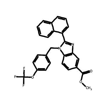 COC(=O)c1ccc2c(c1)nc(-c1cccc3ccccc13)n2Cc1ccc(OC(F)(F)F)cc1